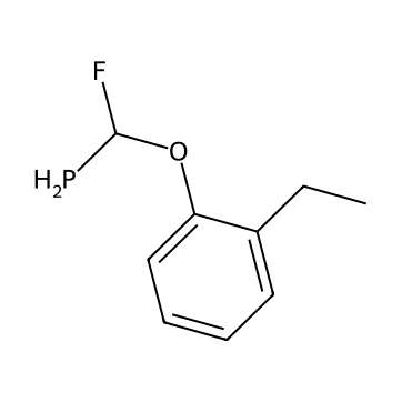 CCc1ccccc1OC(F)P